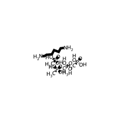 CP(=O)(O)O.CP(=O)(O)O.CP(=O)(O)O.CP(=O)(O)O.NCCCCCCN